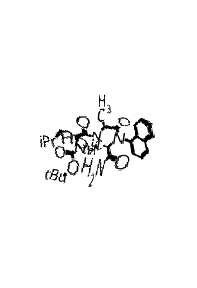 CC(C)C[C@H](NC(=O)OC(C)(C)C)C(=O)N[C@@H](C)C(=O)N(c1cccc2ccccc12)[C@@H](C(N)=O)C(=O)O